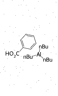 CCC[CH2][Al]([CH2]CCC)[CH2]CCC.O=C(O)c1ccccc1